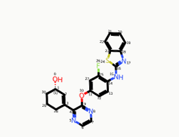 O[C@@H]1C=C(c2nccnc2Oc2ccc(Nc3nc4ccccc4s3)c(F)c2)CCC1